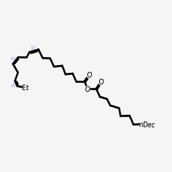 CC/C=C\C/C=C\C/C=C\CCCCCCCC(=O)OC(=O)CCCCCCCCCCCCCCCCC